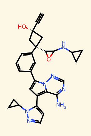 C#C[C@]1(O)C[C@@](c2cccc(-c3cc(-c4ccnn4C4CC4)c4c(N)ncnn34)c2)(C2OC2NC2CC2)C1